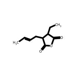 CC=CCC1C(=O)OC(=O)C1CC